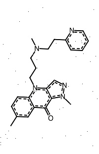 Cc1ccc2c(c1)c(=O)c1c(cnn1C)n2CCCN(C)CCc1ccccn1